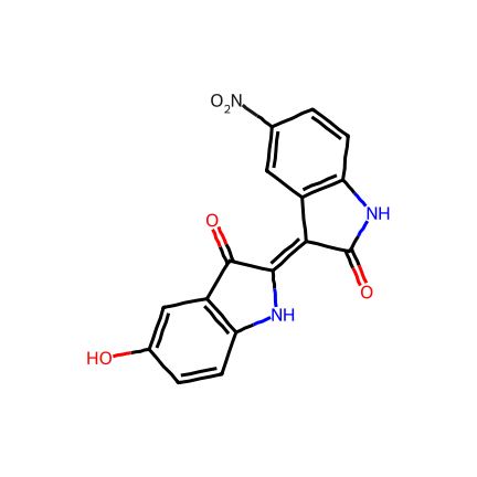 O=C1Nc2ccc([N+](=O)[O-])cc2/C1=C1/Nc2ccc(O)cc2C1=O